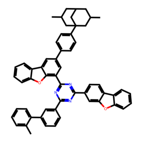 Cc1ccccc1-c1cccc(-c2nc(-c3ccc4c(c3)oc3ccccc34)nc(-c3cc(-c4ccc(C56CC(C)CC(CC(C)C5)C6)cc4)cc4c3oc3ccccc34)n2)c1